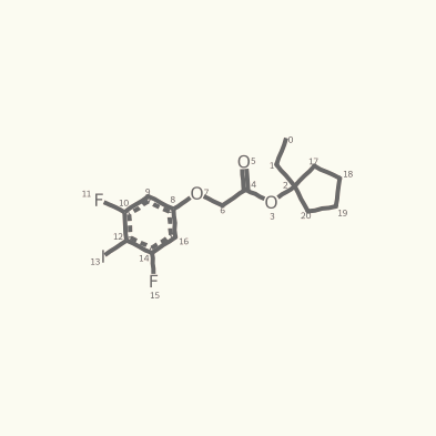 CCC1(OC(=O)COc2cc(F)c(I)c(F)c2)CCCC1